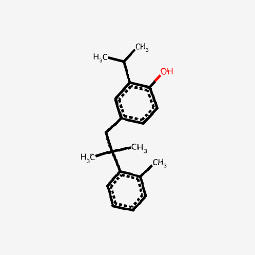 Cc1ccccc1C(C)(C)Cc1ccc(O)c(C(C)C)c1